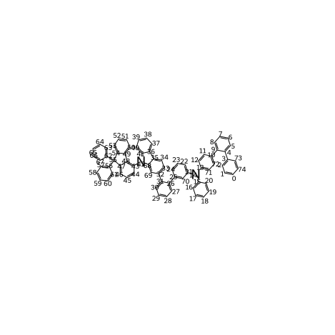 c1ccc(-c2ccccc2-c2ccc(N(c3ccccc3)c3cccc(-c4ccccc4-c4ccc5c6ccccc6n(-c6cccc7c6-c6ccccc6C7(c6ccccc6)c6ccccc6)c5c4)c3)cc2)cc1